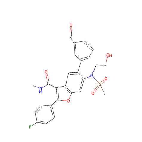 CNC(=O)c1c(-c2ccc(F)cc2)oc2cc(N(CCO)S(C)(=O)=O)c(-c3cccc(C=O)c3)cc12